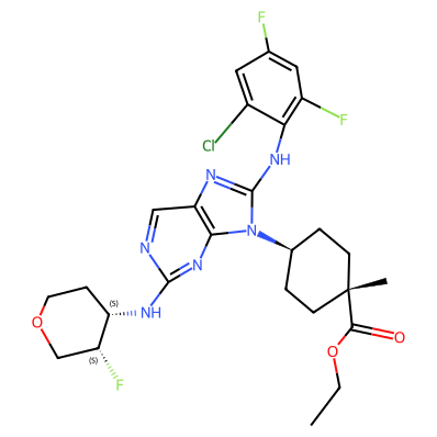 CCOC(=O)[C@]1(C)CC[C@@H](n2c(Nc3c(F)cc(F)cc3Cl)nc3cnc(N[C@H]4CCOC[C@H]4F)nc32)CC1